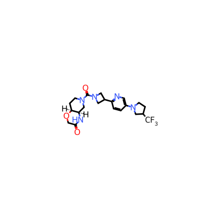 O=C1CO[C@H]2CCN(C(=O)N3CC(c4ccc(N5CCC(C(F)(F)F)C5)cn4)C3)C[C@H]2N1